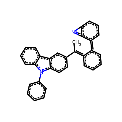 C/C(c1ccc2c(c1)c1ccccc1n2-c1ccccc1)=c1/cccc/c1=c1\cccc2c1=N2